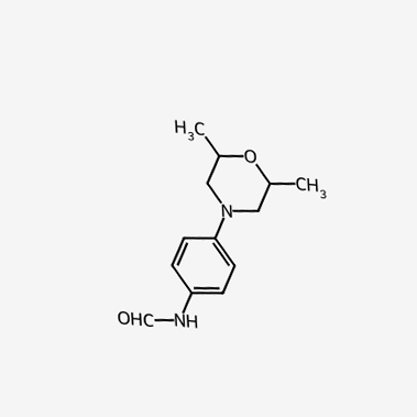 CC1CN(c2ccc(NC=O)cc2)CC(C)O1